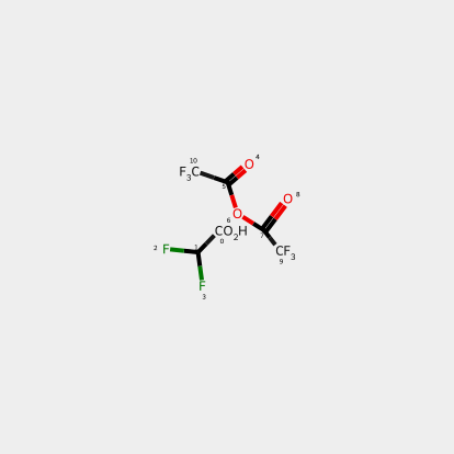 O=C(O)C(F)F.O=C(OC(=O)C(F)(F)F)C(F)(F)F